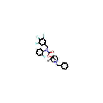 O=C(O[C@H]1C[N+]2(Cc3ccccc3)CCC1CC2)N(Cc1cc(F)c(F)c(F)c1)c1ccccc1F